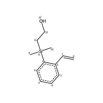 C=Cc1ccccc1[Si](C)(C)CCO